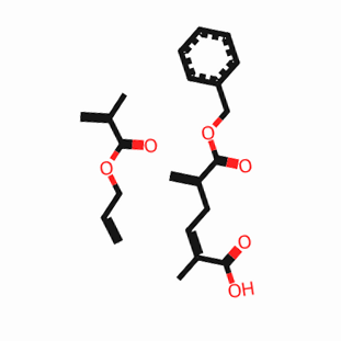 C=C(CC=C(C)C(=O)O)C(=O)OCc1ccccc1.C=CCOC(=O)C(=C)C